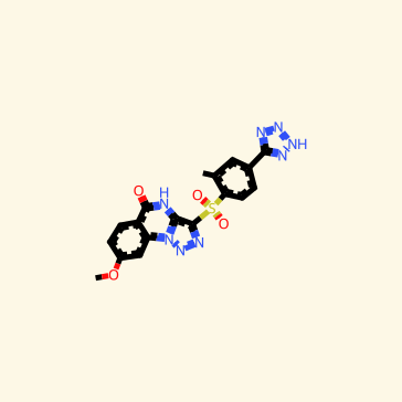 COc1ccc2c(=O)[nH]c3c(S(=O)(=O)c4ccc(-c5nn[nH]n5)cc4C)nnn3c2c1